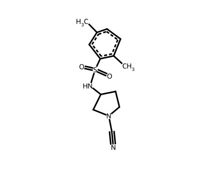 Cc1ccc(C)c(S(=O)(=O)NC2CCN(C#N)C2)c1